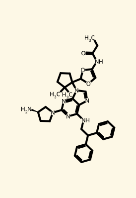 CCC(=O)NC1=COC(C2(n3cnc4c(NCC(c5ccccc5)c5ccccc5)nc(N5CC[C@@H](N)C5)nc43)CCCC2(C)C)O1